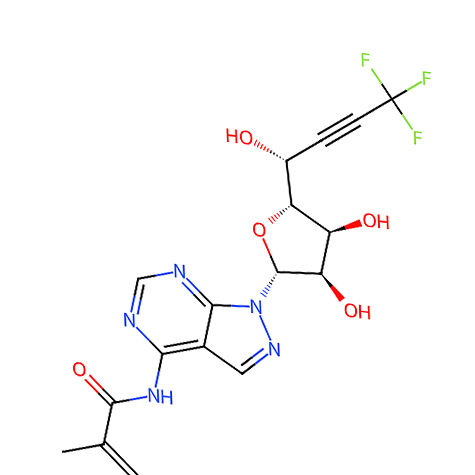 C=C(C)C(=O)Nc1ncnc2c1cnn2[C@@H]1O[C@H]([C@H](O)C#CC(F)(F)F)[C@@H](O)[C@H]1O